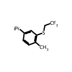 Cc1ccc(C(C)C)cc1SCC(F)(F)F